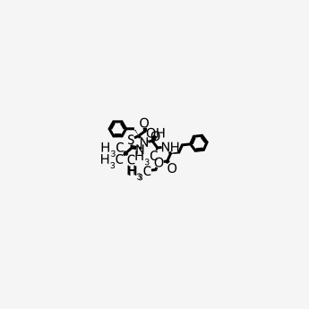 CCOC(=O)[C@H](CCc1ccccc1)N[C@@H](C)C(=O)N1N=C(C(C)(C)C)S[C@@]1(Cc1ccccc1)C(=O)O